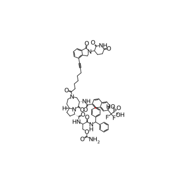 NC(=O)OCC(NC(=O)[C@@H]1CC[C@@H]2CCN(C(=O)CCCCCC#Cc3cccc4c3CN(C3CCC(=O)NC3=O)C4=O)C[C@H](NC(=O)c3ccc4ccc(C(F)(F)P(=O)(O)O)cc4c3)C(=O)N21)C(=O)NC(c1ccccc1)c1ccccc1